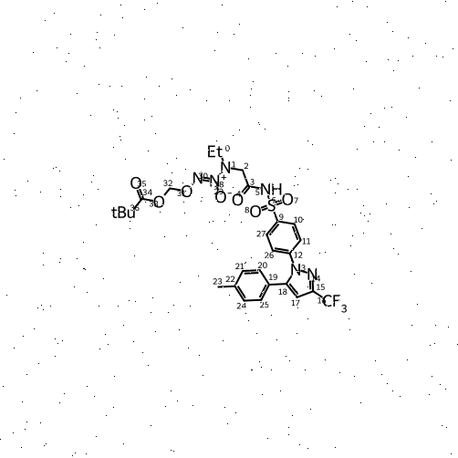 CCN(CC(=O)NS(=O)(=O)c1ccc(-n2nc(C(F)(F)F)cc2-c2ccc(C)cc2)cc1)[N+]([O-])=NOCOC(=O)C(C)(C)C